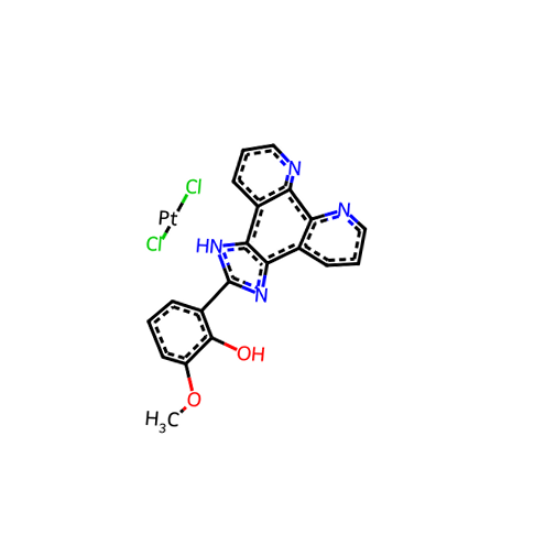 COc1cccc(-c2nc3c4cccnc4c4ncccc4c3[nH]2)c1O.[Cl][Pt][Cl]